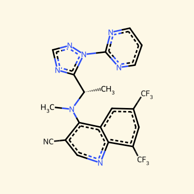 C[C@@H](c1ncnn1-c1ncccn1)N(C)c1c(C#N)cnc2c(C(F)(F)F)cc(C(F)(F)F)cc12